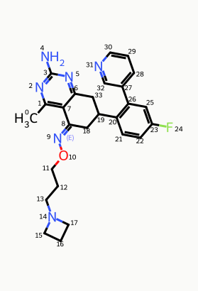 Cc1nc(N)nc2c1/C(=N/OCCCN1CCC1)CC(c1ccc(F)cc1-c1cccnc1)C2